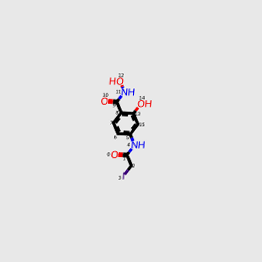 O=C(CI)Nc1ccc(C(=O)NO)c(O)c1